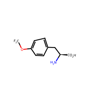 N[C@@H](Cc1ccc(OC(F)(F)F)cc1)C(=O)O